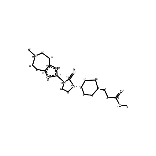 COC(=O)CC[C@H]1CC[C@H](N2CCN(c3nc4c(o3)CCN(C)CC4)C2=O)CC1